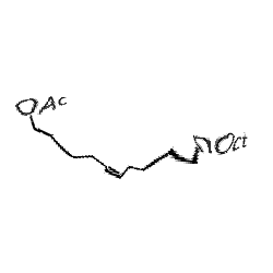 CCCCCCCCCCCC/C=C\CCCCOC(C)=O